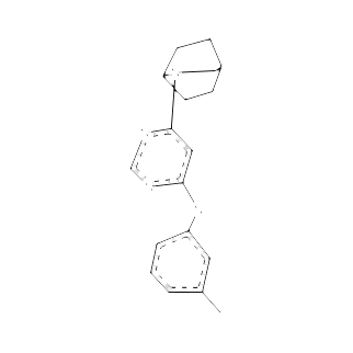 Cc1cccc(Nc2cc(N3CC4CCC3CC4)ncn2)c1